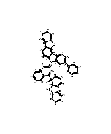 CC1(c2nc(-n3c4cc(-c5ccccc5)ccc4c4c5oc6ccccc6c5ccc43)nc3ccccc23)C=CC=C2c3ccccc3SC21